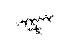 C=CC(=O)OC(COCCOC(=O)O)OOC(C)(C)C